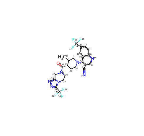 CC1CN(c2c(C#N)cnc3ccc(C(F)(F)F)cc23)CC[C@@H]1C(=O)N1CCn2c(nnc2C(F)(F)F)C1